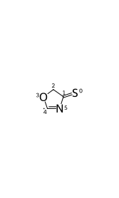 S=C1CO[C]=N1